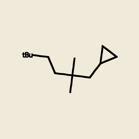 CC(C)(C)CCC(C)(C)CC1CC1